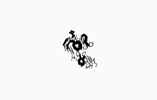 NC(=O)c1c(O)cccc1COc1cccc(-c2nc(C3CCC3)n3ccnc(N)c23)c1.O=C(O)C1CCCN1